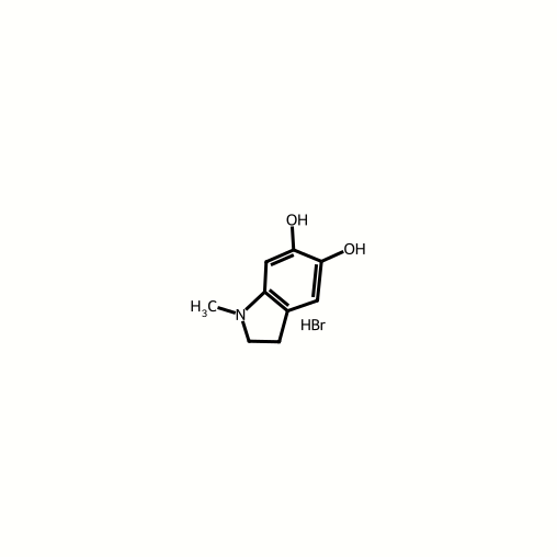 Br.CN1CCc2cc(O)c(O)cc21